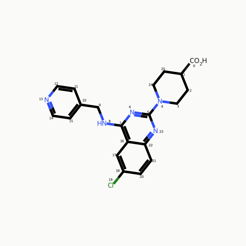 O=C(O)C1CCN(c2nc(NCc3ccncc3)c3cc(Cl)ccc3n2)CC1